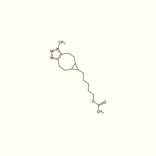 CC(=O)OCCCCCC1C2CCc3nnn(C)c3CCC12